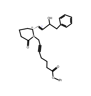 CC(C)OC(=O)CCCC#CCN1C(=O)CCC[C@@H]1/C=C/C(O)Cc1ccccc1